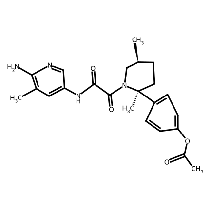 CC(=O)Oc1ccc([C@]2(C)CC[C@H](C)CN2C(=O)C(=O)Nc2cnc(N)c(C)c2)cc1